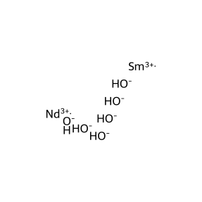 [Nd+3].[OH-].[OH-].[OH-].[OH-].[OH-].[OH-].[Sm+3]